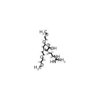 COCCOCCN(CCOCCOC)[C@@H](CCCNC(=N)N)C(=O)O